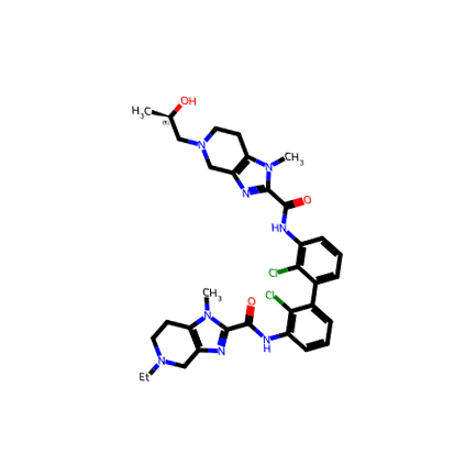 CCN1CCc2c(nc(C(=O)Nc3cccc(-c4cccc(NC(=O)c5nc6c(n5C)CCN(C[C@@H](C)O)C6)c4Cl)c3Cl)n2C)C1